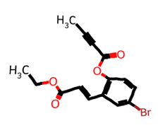 CC#CC(=O)Oc1ccc(Br)cc1/C=C/C(=O)OCC